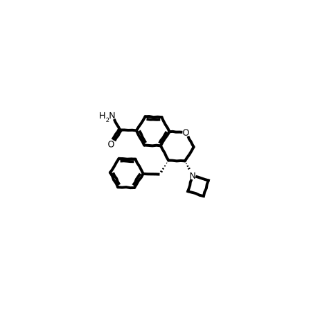 NC(=O)c1ccc2c(c1)[C@@H](Cc1ccccc1)[C@@H](N1CCC1)CO2